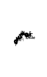 COc1cc(-c2cc(CN3Cc4nc(-c5cccc(F)c5F)[nH]c4C=N3)on2)ccc1OC(F)F